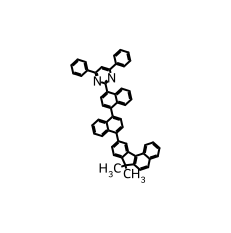 CC1(C)c2ccc(-c3ccc(-c4ccc(-c5nc(-c6ccccc6)cc(-c6ccccc6)n5)c5ccccc45)c4ccccc34)cc2-c2c1ccc1ccccc21